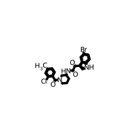 Cc1ccc(C(=O)N2CCCC(NC(=O)C(=O)c3c[nH]c4ccc(Br)cc34)C2)c(Cl)c1